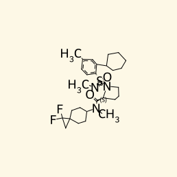 CN=[S@](=O)(c1ccc(C)cc1C1CCCCC1)N1CCC[C@H]1C(=O)N(C)C1CCC2(CC1)CC2(F)F